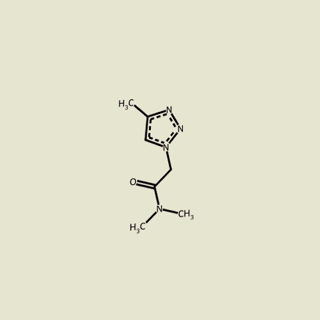 Cc1cn(CC(=O)N(C)C)nn1